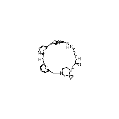 O=C1CN2CCN(Cc3cccc(c3)Nc3cc(ccn3)-c3cnc(nc3)NCCCN1)CC21CC1